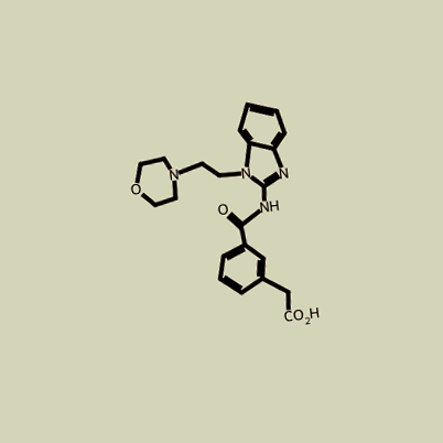 O=C(O)Cc1cccc(C(=O)Nc2nc3ccccc3n2CCN2CCOCC2)c1